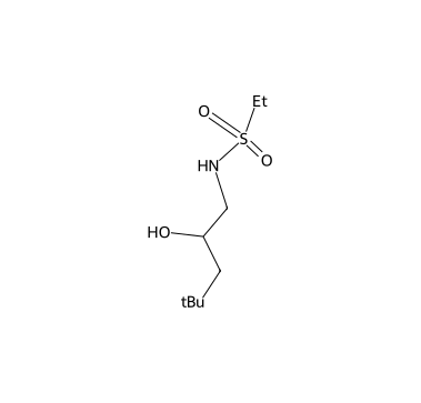 CCS(=O)(=O)NCC(O)CC(C)(C)C